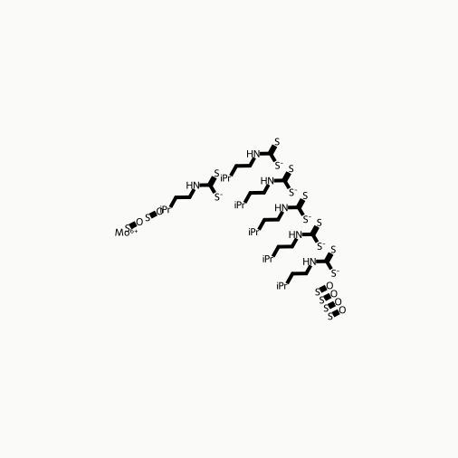 CC(C)CCNC(=S)[S-].CC(C)CCNC(=S)[S-].CC(C)CCNC(=S)[S-].CC(C)CCNC(=S)[S-].CC(C)CCNC(=S)[S-].CC(C)CCNC(=S)[S-].O=S.O=S.O=S.O=S.O=S.O=S.[Mo+6]